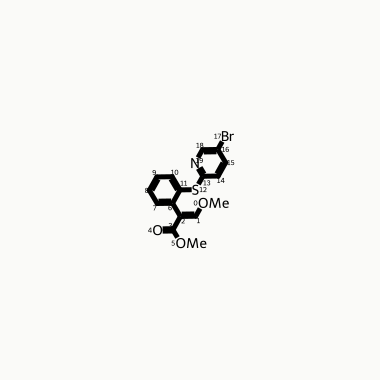 CO/C=C(/C(=O)OC)c1ccccc1Sc1ccc(Br)cn1